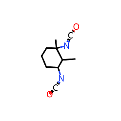 CC1C(N=C=O)CCCC1(C)N=C=O